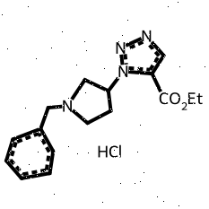 CCOC(=O)c1cnnn1C1CCN(Cc2ccccc2)C1.Cl